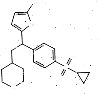 CCOC(=O)c1ccc(C(CC2CCOCC2)c2ccc(S(=O)(=O)C3CC3)cc2)[nH]1